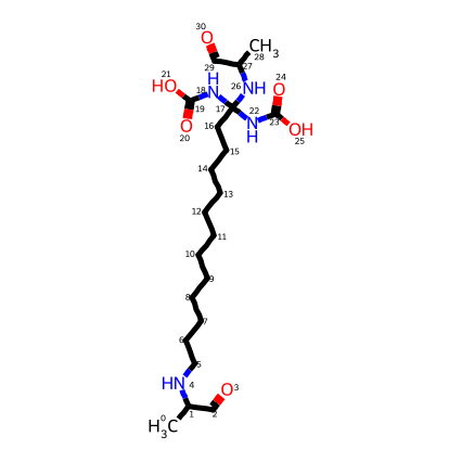 CC(C=O)NCCCCCCCCCCCCC(NC(=O)O)(NC(=O)O)NC(C)C=O